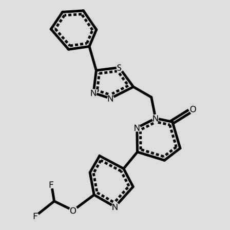 O=c1ccc(-c2ccc(OC(F)F)nc2)nn1Cc1nnc(-c2ccccc2)s1